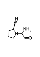 N#C[C@@H]1CCCN1C(N)C=O